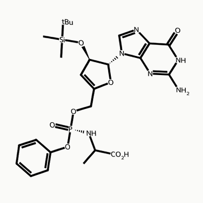 CC(N[P@](=O)(OCC1=C[C@@H](O[Si](C)(C)C(C)(C)C)[C@H](n2cnc3c(=O)[nH]c(N)nc32)O1)Oc1ccccc1)C(=O)O